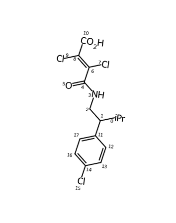 CC(C)C(CNC(=O)C(Cl)=C(Cl)C(=O)O)c1ccc(Cl)cc1